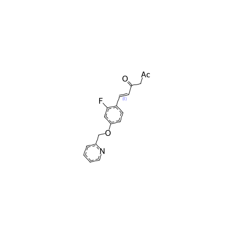 CC(=O)CC(=O)/C=C/c1ccc(OCc2ccccn2)cc1F